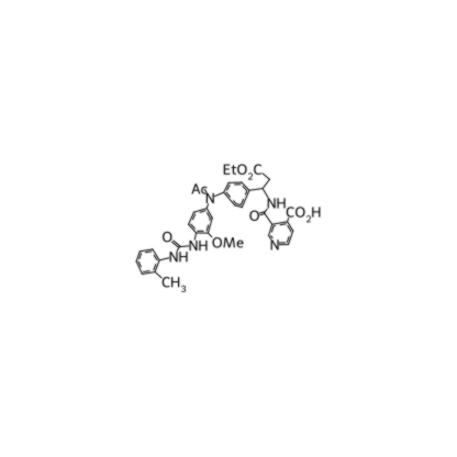 CCOC(=O)CC(NC(=O)c1cnccc1C(=O)O)c1ccc(N(C(C)=O)c2ccc(NC(=O)Nc3ccccc3C)c(OC)c2)cc1